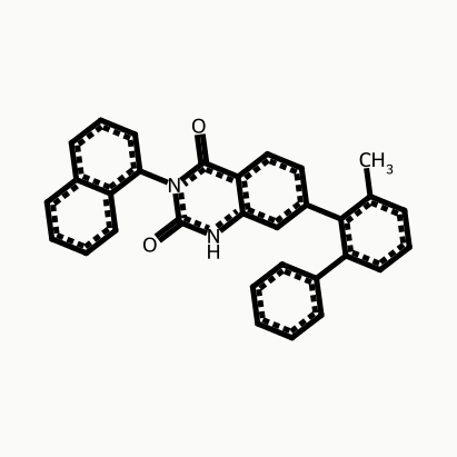 Cc1cccc(-c2ccccc2)c1-c1ccc2c(=O)n(-c3cccc4ccccc34)c(=O)[nH]c2c1